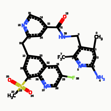 Cc1cc(N)nc(C(F)(F)F)c1CNC(=O)c1ccnc(Cc2cc(S(C)(=O)=O)c3ncc(F)cc3c2)c1